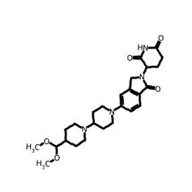 COC(OC)C1CCN(C2CCN(c3ccc4c(c3)CN(C3CCC(=O)NC3=O)C4=O)CC2)CC1